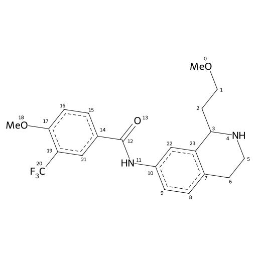 COCCC1NCCc2ccc(NC(=O)c3ccc(OC)c(C(F)(F)F)c3)cc21